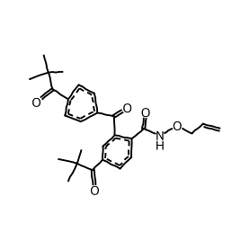 C=CCONC(=O)c1ccc(C(=O)C(C)(C)C)cc1C(=O)c1ccc(C(=O)C(C)(C)C)cc1